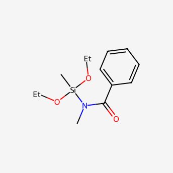 CCO[Si](C)(OCC)N(C)C(=O)c1ccccc1